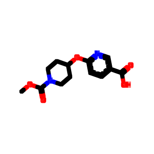 COC(=O)N1CCC(Oc2ccc(C(=O)O)cn2)CC1